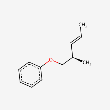 C/C=C/[C@@H](C)COc1ccccc1